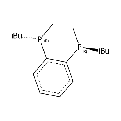 CCC(C)[P@](C)c1ccccc1[P@@](C)C(C)CC